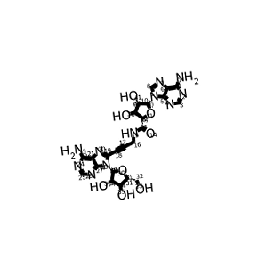 Nc1ncnc2c1ncn2[C@@H]1O[C@H](C(=O)NCC#Cc2nc3c(N)ncnc3n2[C@@H]2O[C@H](CO)C(O)[C@@H]2O)C(O)[C@@H]1O